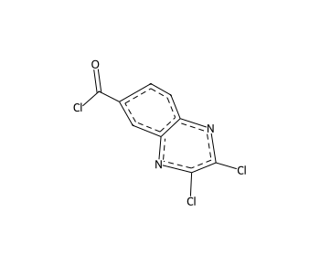 O=C(Cl)c1ccc2nc(Cl)c(Cl)nc2c1